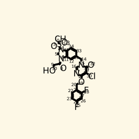 CS(=O)(=O)N1CN(C(=O)CO)c2cc(Cn3cnc(OCc4ccc(F)cc4F)c(Cl)c3=O)ccc21